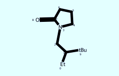 CCC(CN1CCCC1=O)C(C)(C)C